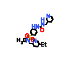 CCc1ccc(CN(C)S(=O)(=O)c2ccc(NC(=O)NCc3cccnc3)cc2)nc1